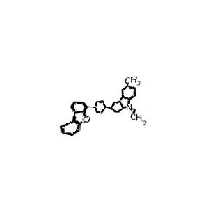 C=Cn1c2ccc(C)cc2c2cc(-c3ccc(-c4cccc5c4oc4ccccc45)cc3)ccc21